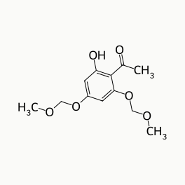 COCOc1cc(O)c(C(C)=O)c(OCOC)c1